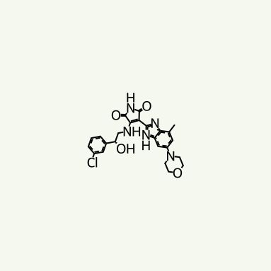 Cc1cc(N2CCOCC2)cc2[nH]c(C3=C(NC[C@@H](O)c4cccc(Cl)c4)C(=O)NC3=O)nc12